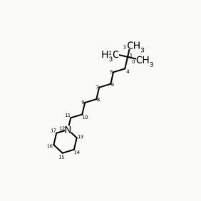 CC(C)(C)CCCCCCCCN1CCCCC1